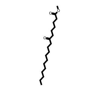 CCCCCCCCCCCC(=O)CCCCCC(=O)OC